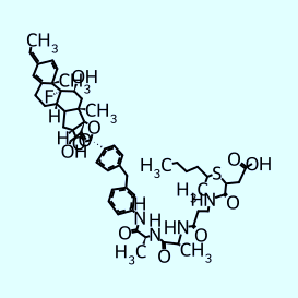 C/C=C1\C=C[C@@]2(C)C(=C1)CC[C@H]1C3C[C@H]4O[C@@H](c5ccc(Cc6cccc(NC(=O)[C@H](C)NC(=O)[C@H](C)NC(=O)CCNC(=O)C(CC(=O)O)SC(C)CCCC)c6)cc5)O[C@@]4(C(=O)CO)[C@@]3(C)C[C@H](O)[C@@]12F